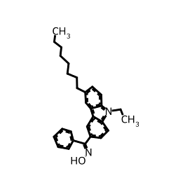 CCCCCCCCc1ccc2c(c1)c1cc(C(=NO)c3ccccc3)ccc1n2CC